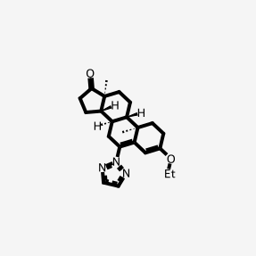 CCOC1=CC2=C(n3nccn3)C[C@@H]3[C@H](CC[C@]4(C)C(=O)CC[C@@H]34)[C@@]2(C)CC1